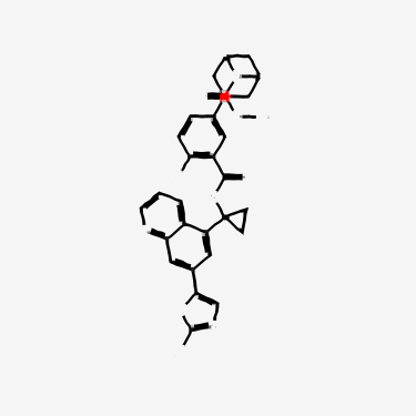 Cc1ncc(-c2cc(C3(NC(=O)c4cc(N5CC6CC(C5)N6C(=O)OC(C)(C)C)ccc4C)CC3)c3cccnc3c2)o1